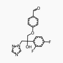 O=Cc1ccc(OCC(O)(Cn2cncn2)c2ccc(F)cc2F)cc1